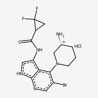 Cl.N[C@@H]1CCCN(c2c(Br)cnc3[nH]cc(NC(=O)C4CC4(F)F)c23)C1